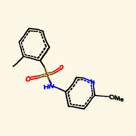 COc1ccc(NS(=O)(=O)c2ccccc2C)cn1